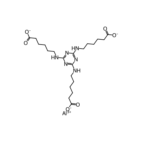 O=C([O-])CCCCCNc1nc(NCCCCCC(=O)[O-])nc(NCCCCCC(=O)[O-])n1.[Al+3]